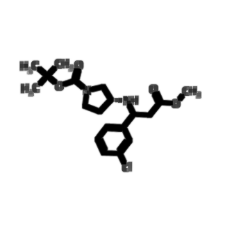 COC(=O)CC(N[C@@H]1CCN(C(=O)OC(C)(C)C)C1)c1cccc(Cl)c1